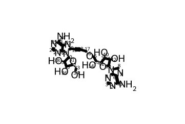 Nc1ncnc2c1ncn2[C@@H]1O[C@H](C(O)COCC#Cc2nc3c(N)ncnc3n2[C@@H]2O[C@H](CO)[C@@H](O)[C@H]2O)[C@@H](O)[C@H]1O